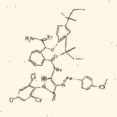 CCC(C)(C)c1ccc(OC(C(N)=O)c2ccccc2C(=O)Nc2[nH]n(-c3c(Cl)cc(Cl)cc3Cl)c(=O)c2N=Nc2ccc(OC)cc2)c(C(C)(C)CC)c1